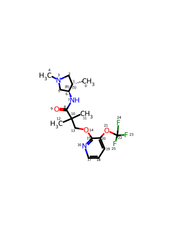 C[C@H]1CN(C)C[C@@H]1NC(=O)C(C)(C)COc1ncccc1OC(F)(F)F